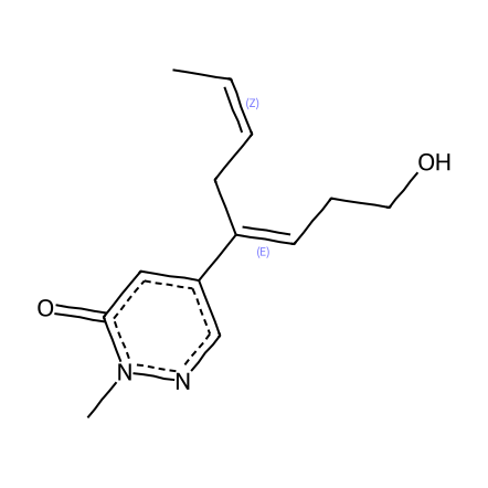 C/C=C\C/C(=C\CCO)c1cnn(C)c(=O)c1